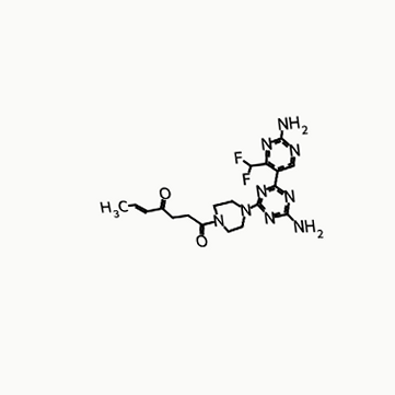 C/C=C/C(=O)CCC(=O)N1CCN(c2nc(N)nc(-c3cnc(N)nc3C(F)F)n2)CC1